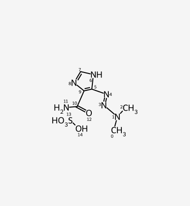 CN(C)N=Nc1[nH]cnc1C(N)=O.O=S(=O)(O)O